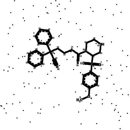 COc1ccc(S(=O)(=O)C2CNCCN2C(=S)SCCC(C#N)(c2ccccc2)c2ccccc2)cc1